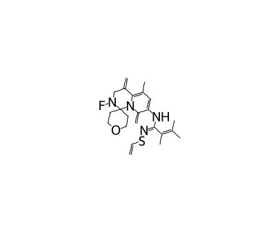 C=CSN=C(NC1=CC(C)=C2C(=C)CN(F)C3(CCOCC3)N2C1=C)C(C)=C(C)C